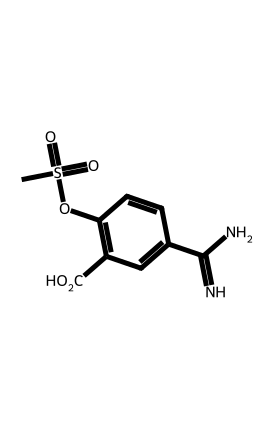 CS(=O)(=O)Oc1ccc(C(=N)N)cc1C(=O)O